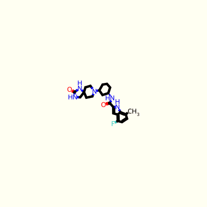 Cc1ccc(F)c2cc(C(=O)N[C@@H]3CCCC(N4CCC5(CC4)CNC(=O)N5)C3)[nH]c12